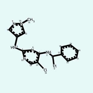 CCC(Nc1nc(Nc2cnn(C)c2)ncc1Cl)c1ccccc1